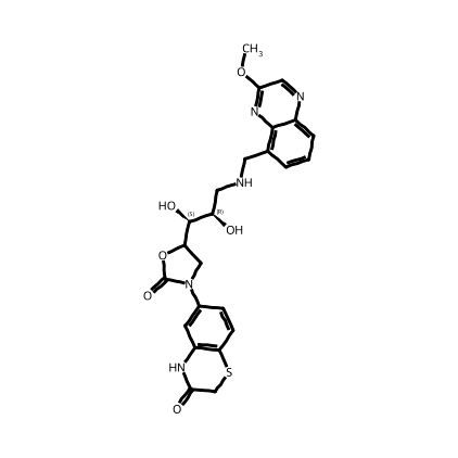 COc1cnc2cccc(CNC[C@@H](O)[C@H](O)C3CN(c4ccc5c(c4)NC(=O)CS5)C(=O)O3)c2n1